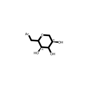 CC(=O)CC1OC[C@@H](O)C(O)[C@H]1O